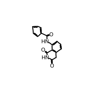 O=C1Cc2cccc(NC(=O)c3ccccc3)c2C(=O)N1